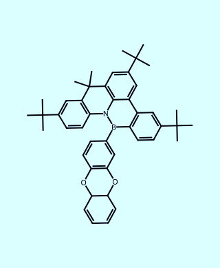 CC(C)(C)c1ccc2c(c1)-c1cc(C(C)(C)C)cc3c1N(B2c1ccc2c(c1)OC1C=CC=CC1O2)c1ccc(C(C)(C)C)cc1C3(C)C